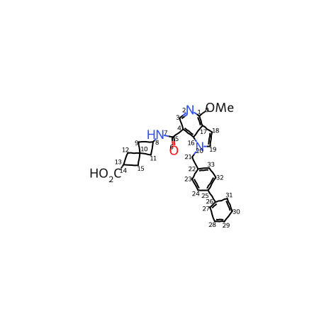 COc1ncc(C(=O)NC2CC3(C2)CC(C(=O)O)C3)c2c1ccn2Cc1ccc(-c2ccccc2)cc1